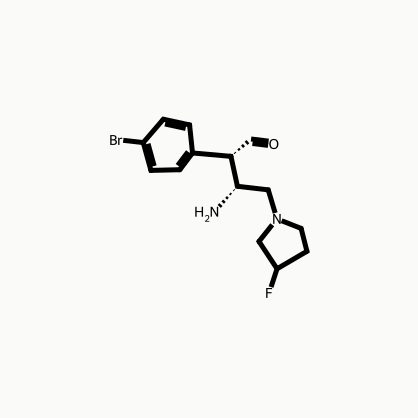 N[C@@H](CN1CCC(F)C1)[C@@H](C=O)c1ccc(Br)cc1